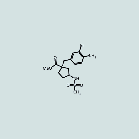 COC(=O)[C@@]1(Cc2ccc(C)c(Br)c2)CC[C@H](NS(C)(=O)=O)C1